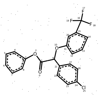 O=C(Oc1ccccc1)C(Oc1cccc(C(F)(F)F)c1)c1ccc(Cl)cc1